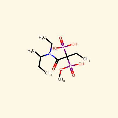 CCC(C)N(CC)C(=O)C(CC)(P(=O)(O)O)P(=O)(O)OC